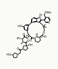 CCn1c(-c2cnccc2COC)c2c3cc(ccc31)-c1cc(O)cc(c1)C[C@H](NC(=O)[C@H](C(C)C)N(C)C(=O)[C@]1(O)CCN(C(=O)CN3CC[C@@H](O)C3)C1)C(=O)N1CCC[C@](C=O)(COCC(C)(C)C2)N1